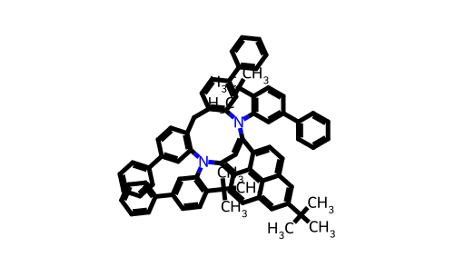 CC(C)(C)c1cc2ccc3c4cc(c5ccc(c1)c2c35)N(c1cc(-c2ccccc2)ccc1C(C)(C)C)c1cc(-c2ccccc2)ccc1Cc1ccc(-c2ccccc2)cc1N4c1cc(-c2ccccc2)ccc1C(C)(C)C